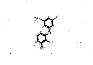 O=[N+]([O-])c1cc(F)cc(Oc2cccc(Br)c2I)c1